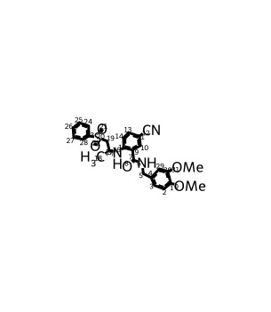 COc1ccc(CNC(=O)c2cc(C#N)ccc2N[C@@H](C)CS(=O)(=O)c2ccccc2)cc1OC